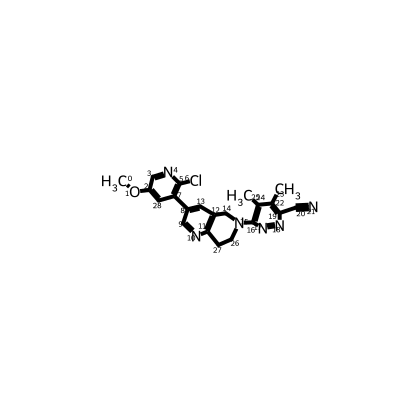 COc1cnc(Cl)c(-c2cnc3c(c2)CN(c2nnc(C#N)c(C)c2C)CC3)c1